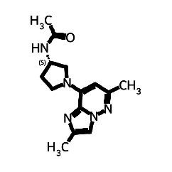 CC(=O)N[C@H]1CCN(c2cc(C)nn3cc(C)nc23)C1